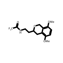 COc1ccc(OC)c2c1COC(CCNC(=O)C(F)(F)F)C2